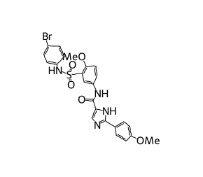 COc1ccc(-c2ncc(C(=O)Nc3ccc(OC)c(S(=O)(=O)Nc4ccc(Br)cc4)c3)[nH]2)cc1